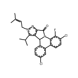 CC(C)=CCn1nc2c(c1C(C)C)C1c3ccc(Cl)cc3-c3ccc(Cl)c(F)c3N1C2=O